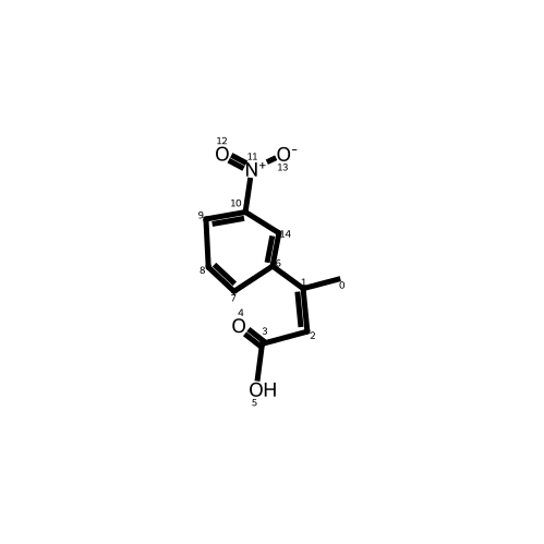 C/C(=C/C(=O)O)c1cccc([N+](=O)[O-])c1